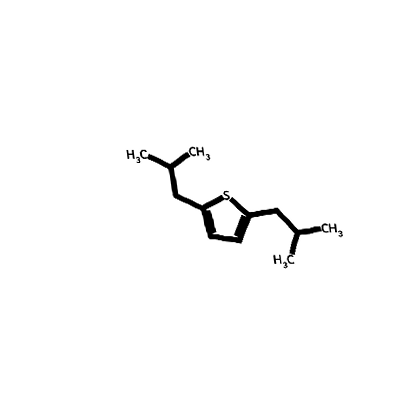 CC(C)Cc1ccc(CC(C)C)s1